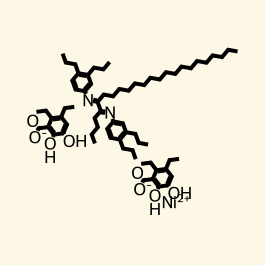 CCCCCCCCCCCCCCCCCCC(=Nc1ccc(CCC)c(CCC)c1)C(CCCC)=Nc1ccc(CCC)c(CCC)c1.CCc1cc(O)c(O)c(C(=O)[O-])c1CC.CCc1cc(O)c(O)c(C(=O)[O-])c1CC.[Ni+2]